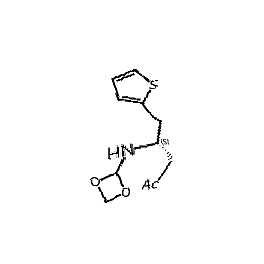 CC(=O)C[C@@H](Cc1cccs1)NC1OCO1